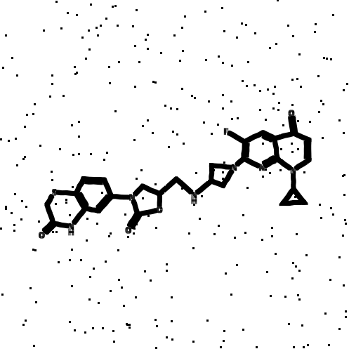 O=C1CSc2ccc(N3CC(CNC4CN(c5nc6c(cc5F)c(=O)ccn6C5CC5)C4)OC3=O)cc2N1